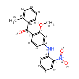 COc1cc(Nc2ccccc2[N+](=O)[O-])ccc1C(=O)c1ccccc1C